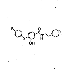 O=C(NCCN1CCOCC1)c1ccc(Sc2ccc(F)cc2)c(O)c1